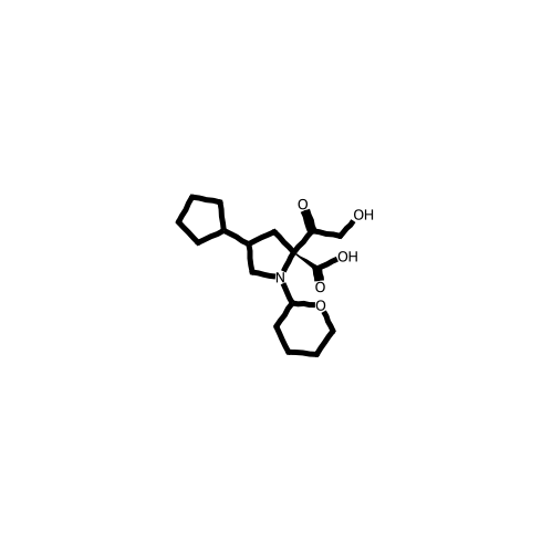 O=C(O)[C@]1(C(=O)CO)CC(C2CCCC2)CN1C1CCCCO1